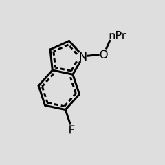 CCCOn1ccc2ccc(F)cc21